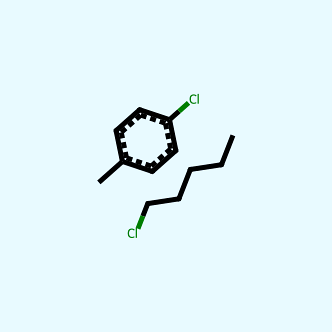 CCCCCCl.Cc1ccc(Cl)cc1